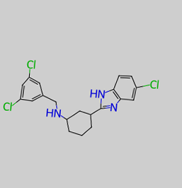 Clc1cc(Cl)cc(CNC2CCCC(c3nc4cc(Cl)ccc4[nH]3)C2)c1